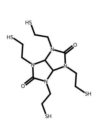 O=C1N(CCS)C2C(N1CCS)N(CCS)C(=O)N2CCS